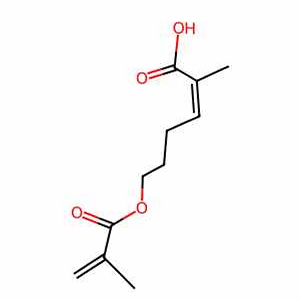 C=C(C)C(=O)OCCCC=C(C)C(=O)O